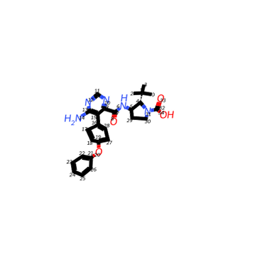 CC(C)(C)[C@H]1C(NC(=O)c2ncnc(N)c2-c2ccc(Oc3ccccc3)cc2)CCN1C(=O)O